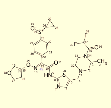 CC1CN(Cc2cnc(NC(=O)/C(=N/O[C@@H]3CCOC3)c3ccc([S+]([O-])C4CC4)cc3)s2)CCN1C(=O)C(F)F